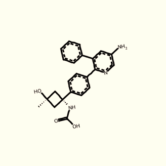 C[C@]1(O)C[C@@](NC(=O)O)(c2ccc(-c3ncc(N)cc3-c3ccccc3)cc2)C1